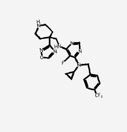 Fc1c(NCC2(c3ncon3)CCNCC2)ncnc1N(Cc1ccc(C(F)(F)F)cc1)C1CC1